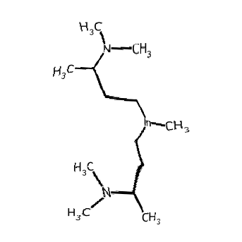 CC(C[CH2][In]([CH3])[CH2]CC(C)N(C)C)N(C)C